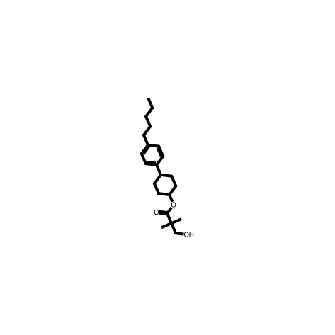 CCCCCc1ccc(C2CCC(OC(=O)C(C)(C)CO)CC2)cc1